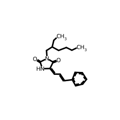 CCCCC(CC)CN1C(=O)NC(=CC=Cc2ccccc2)C1=O